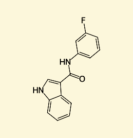 O=C(Nc1cccc(F)c1)c1c[nH]c2ccccc12